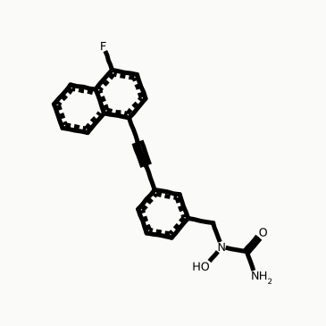 NC(=O)N(O)Cc1cccc(C#Cc2ccc(F)c3ccccc23)c1